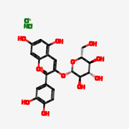 Cl.OC[C@H]1O[C@@H](Oc2cc3c(O)cc(O)cc3[o+]c2-c2ccc(O)c(O)c2)[C@H](O)[C@@H](O)[C@@H]1O.[Cl-]